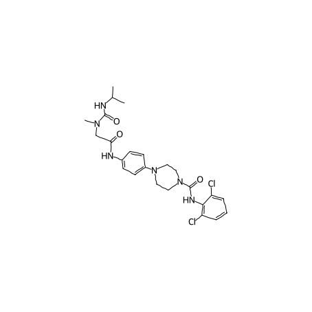 CC(C)NC(=O)N(C)CC(=O)Nc1ccc(N2CCN(C(=O)Nc3c(Cl)cccc3Cl)CC2)cc1